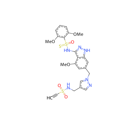 C#CS(=O)(=O)NCc1cnn(Cc2cc(OC)c3c(NS(=O)(=S)c4c(OC)cccc4OC)n[nH]c3c2)c1